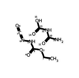 CCOC(=O)NN=C=O.NC(=O)NC(=O)O